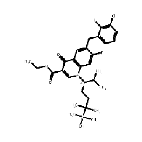 CCOC(=O)c1cn([C@H](CCC(C)(C)[Si](C)(C)O)C(C)C)c2cc(F)c(Cc3cccc(Cl)c3F)cc2c1=O